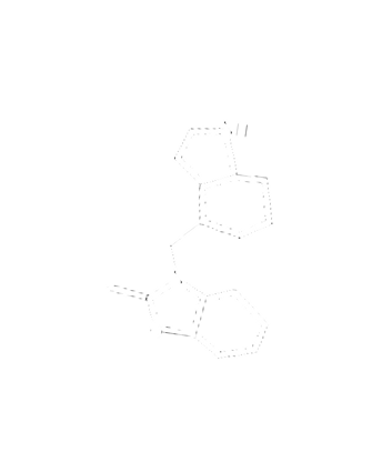 S=c1oc2ccccc2n1Cc1cccc2[nH]ccc12